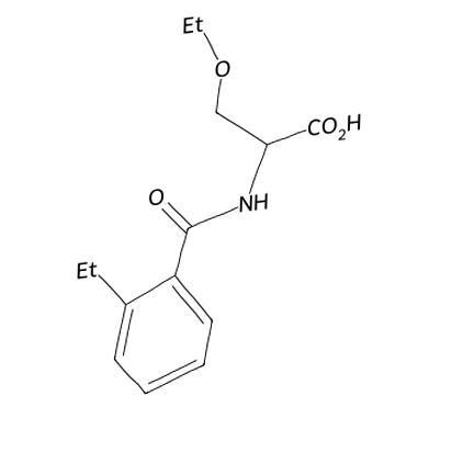 CCOCC(NC(=O)c1ccccc1CC)C(=O)O